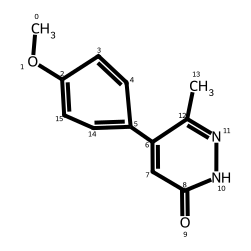 COc1ccc(-c2cc(=O)[nH]nc2C)cc1